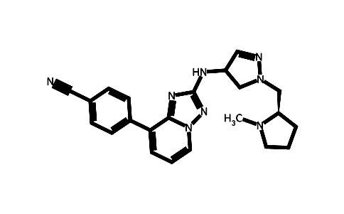 CN1CCC[C@@H]1CN1CC(Nc2nc3c(-c4ccc(C#N)cc4)cccn3n2)C=N1